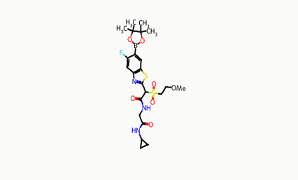 COCCS(=O)(=O)C(C(=O)NCC(=O)NC1CC1)c1nc2cc(F)c(B3OC(C)(C)C(C)(C)O3)cc2s1